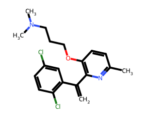 C=C(c1cc(Cl)ccc1Cl)c1nc(C)ccc1OCCCN(C)C